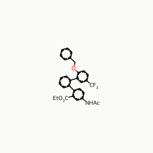 CCOC(=O)c1cc(NC(C)=O)ccc1-c1ccccc1-c1cc(C(F)(F)F)ccc1OCc1ccccc1